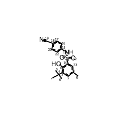 Cc1cc(C(C)(C)C)c(O)c(S(=O)(=O)Nc2ccc(C#N)cc2)c1